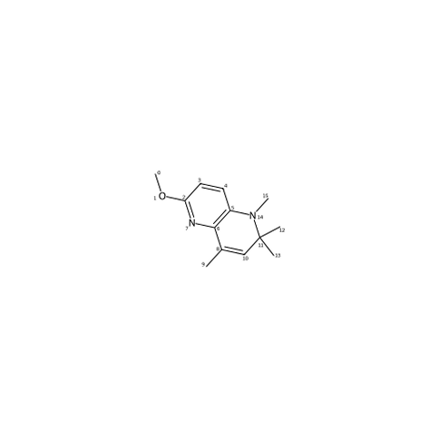 COc1ccc2c(n1)C(C)=CC(C)(C)N2C